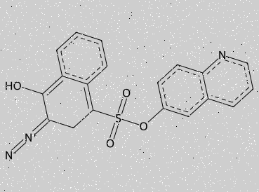 [N-]=[N+]=C1CC(S(=O)(=O)Oc2ccc3ncccc3c2)=c2ccccc2=C1O